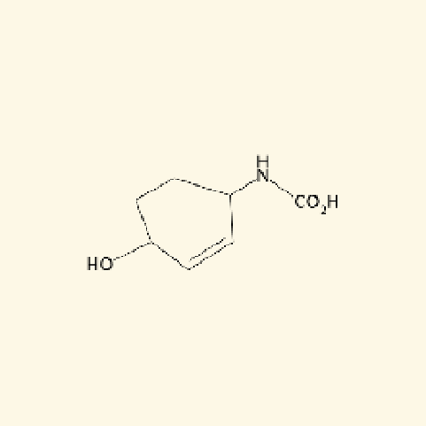 O=C(O)NC1C=CC(O)CC1